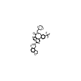 O=C1c2ncn3c(NCc4c(F)ccc5c4CCO5)ncc(c23)-c2ccc(C(F)(F)F)cc2CN1CC1COCCO1